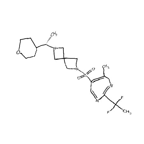 Cc1nc(C(C)(F)F)ncc1S(=O)(=O)N1CC2(CN([C@@H](C)C3CCOCC3)C2)C1